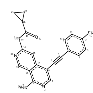 CNc1ncc(C#Cc2ccc(C#N)cn2)c2cc(NC(=O)C3CC3)ncc12